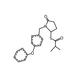 CC(C)C(=O)SC1CCC(=O)N1Cc1ccc(Oc2ccccc2)cc1